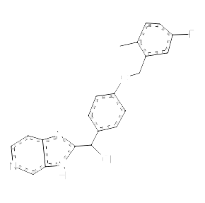 CC(c1ccc(OCc2cc(F)ccc2F)cc1)c1nc2ccncc2[nH]1